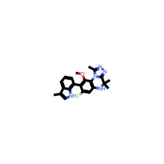 COc1c(-c2cccc3c(C)c[nH]c23)c(F)cc2c1-n1c(C)nnc1C(C)(C)N2